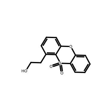 O=S1(=O)c2ccccc2Oc2cccc(CCO)c21